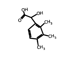 Cc1ccc(C(O)C(=O)O)c(C)c1C